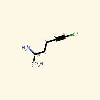 N[C@@H](CCC#CCl)C(=O)O